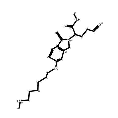 C=C1c2ccc(OCCCCCCNC)cc2CN1C(CCC=O)C(=O)NC